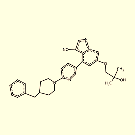 CC(C)(O)COc1cc(-c2ccc(N3CCC(Cc4ccccc4)CC3)nc2)c2c(C#N)cnn2c1